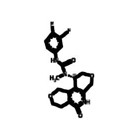 CN(C(=O)Nc1ccc(F)c(F)c1)[C@@H]1COCc2[nH]c(=O)c3c(c21)COCC3